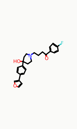 O=C(CCCN1CCC(O)(c2ccc(-c3ccoc3)cc2)CC1)c1ccc(F)cc1